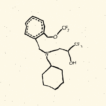 OC(CN(Cc1ccccc1OC(F)(F)F)C1CCCCC1)C(F)(F)F